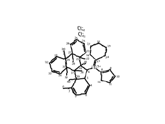 CC1=CC=CC2[CH]([Ti+2]([C]3=CC=CC3)=[C]3CCCCC3)C3(C)C4(C)C=CC=CC4(C)C4(C)C=CC=CC4(C)C3(C)C12C.[Cl-].[Cl-]